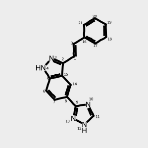 C(=C\c1n[nH]c2ccc(-c3nc[nH]n3)cc12)/c1ccccc1